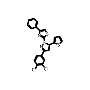 Clc1ccc(C2=NN(c3nc(-c4ccccc4)cs3)C(c3cccs3)C2)cc1Cl